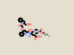 CCOC(=O)N1CCN(C(=O)C(CCC(=O)O)NC(=O)c2cc(OCC(=O)N3c4ccccc4CC3CO)c3ccccc3n2)CC1